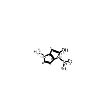 CCN(CC)n1c(O)cc2c1ccn2C